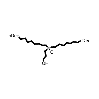 CCCCCCCCCCCCCCCCCC[N+]([O-])(CCCO)CCCCCCCCCCCCCCCCCC